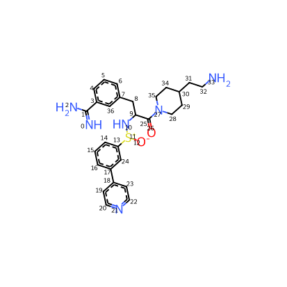 N=C(N)c1cccc(CC(N[S+]([O-])c2cccc(-c3ccncc3)c2)C(=O)N2CCC(CCN)CC2)c1